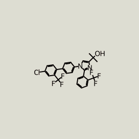 CC(C)(O)c1cn(-c2ccc(-c3ccc(Cl)cc3C(F)(F)F)cc2)c(-c2ccccc2C(F)(F)F)n1